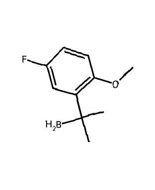 BC(C)(C)c1cc(F)ccc1OC